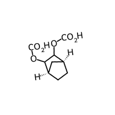 O=C(O)OC1C(OC(=O)O)[C@H]2CC[C@@H]1C2